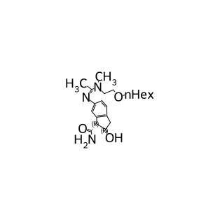 CCCCCCOCCN(C)C(C)=Nc1ccc2c(c1)[C@@H](C(N)=O)[C@H](O)C2